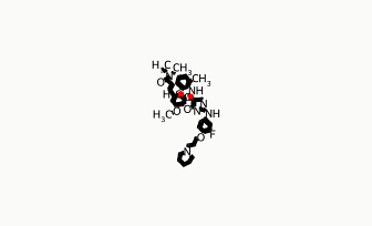 CCN(CC)C(=O)C=Cc1ccc(Oc2nc(Nc3ccc(OCCCN4CCCCC4)c(F)c3)ncc2C(=O)Nc2c(C)cccc2C)c(OC)c1